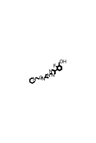 OCc1cccc(-c2cnc(N3CC(=NOCCN4CCCCC4)C3)nc2)c1F